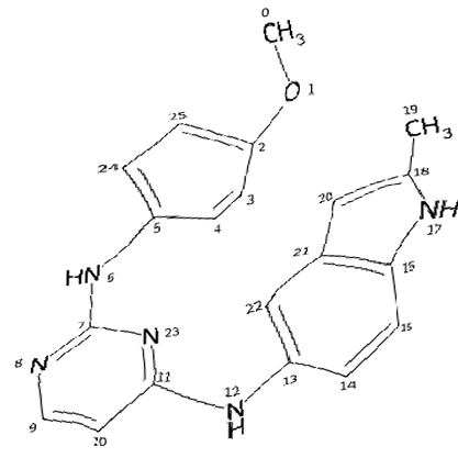 COc1ccc(Nc2nccc(Nc3ccc4[nH]c(C)cc4c3)n2)cc1